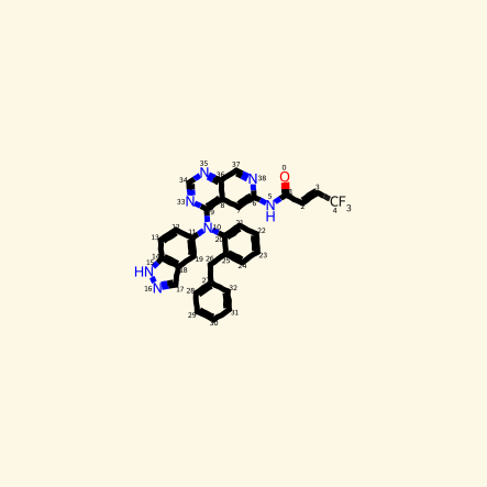 O=C(C=CC(F)(F)F)Nc1cc2c(N(c3ccc4[nH]ncc4c3)c3ccccc3Cc3ccccc3)ncnc2cn1